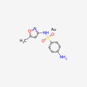 Cc1cc(NS(=O)(=O)c2ccc(N)cc2)no1.[Au]